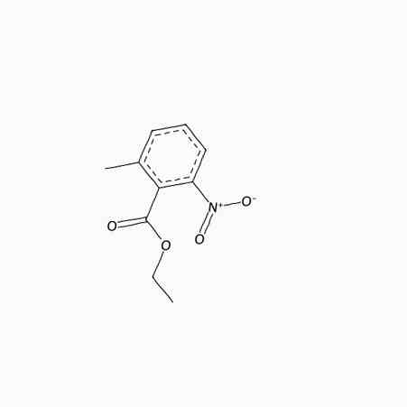 CCOC(=O)c1c(C)cccc1[N+](=O)[O-]